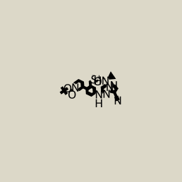 C[S+]([O-])Cc1cc(Nc2cc(NC3CC3)n3ncc(C#N)c3n2)ccc1C1=CCCN(C(=O)OC(C)(C)C)C1